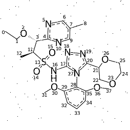 CCO[C@H](c1ncc(C)cn1)[C@H](C)S(=O)(=O)Nc1nnc(C2COCCO2)n1-c1c(OC)cccc1OC